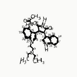 CCN(CC)CCn1cc(C2=C(c3c[nH]c4ccccc34)C(=O)NC2=O)c2c(NC(C)=O)cccc21